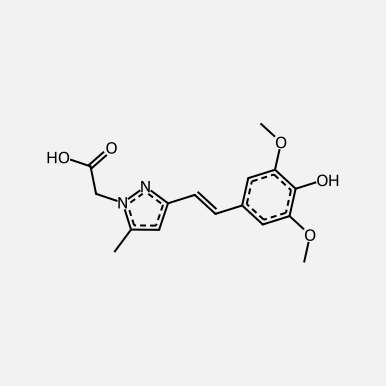 COc1cc(C=Cc2cc(C)n(CC(=O)O)n2)cc(OC)c1O